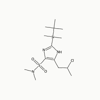 CC(Cl)Cc1[nH]c([Si](C)(C)C(C)(C)C)nc1S(=O)(=O)N(C)C